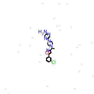 CC(c1cc(-c2cccc(Cl)c2)on1)N1CCN(c2cnc(N)cn2)CC1